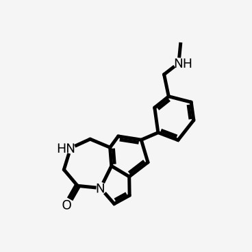 CNCc1cccc(-c2cc3c4c(ccn4C(=O)CNC3)c2)c1